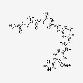 CC[C@H](COC(=O)[C@H](N)CCC(N)=O)OC(=O)NCc1cccc(NC(=O)Nc2ccc(-c3cnco3)c(OC)c2)c1